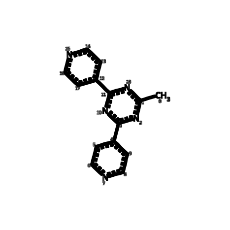 Cc1nc(-c2ccncc2)nc(-c2ccncc2)n1